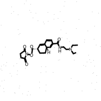 CCN(CC)CCNC(=O)C1=C[C@@H]2CC[C@H](C(=O)ON3C(=O)CCC3=O)C=C2C=C1